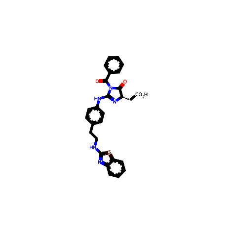 O=C(O)C[C@@H]1N=C(Nc2ccc(CCNc3nc4ccccc4s3)cc2)N(C(=O)c2ccccc2)C1=O